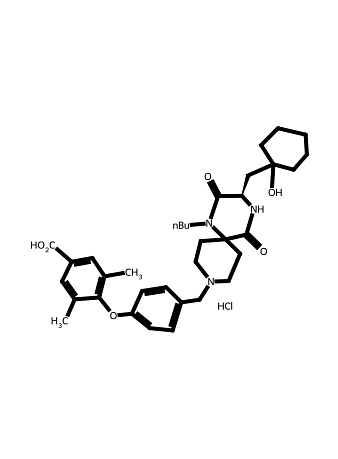 CCCCN1C(=O)[C@@H](CC2(O)CCCCC2)NC(=O)C12CCN(Cc1ccc(Oc3c(C)cc(C(=O)O)cc3C)cc1)CC2.Cl